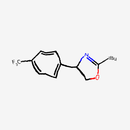 CC(C)(C)C1=NC(c2ccc(C(F)(F)F)cc2)CO1